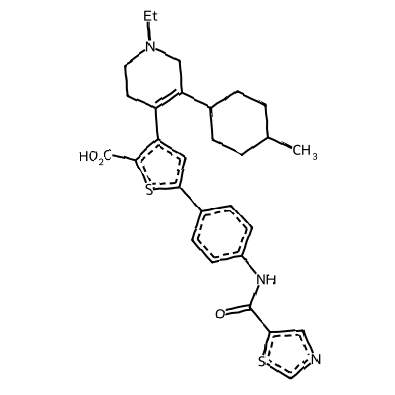 CCN1CCC(c2cc(-c3ccc(NC(=O)c4cncs4)cc3)sc2C(=O)O)=C(C2CCC(C)CC2)C1